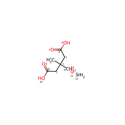 CC(C)(CC(=O)O)CC(=O)O.O.[SrH2]